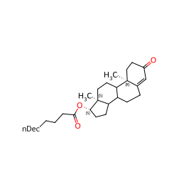 CCCCCCCCCCCCCC(=O)O[C@H]1CCC2C3CCC4=CC(=O)CC[C@]4(C)C3CC[C@@]21C